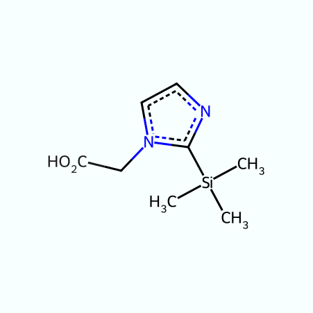 C[Si](C)(C)c1nccn1CC(=O)O